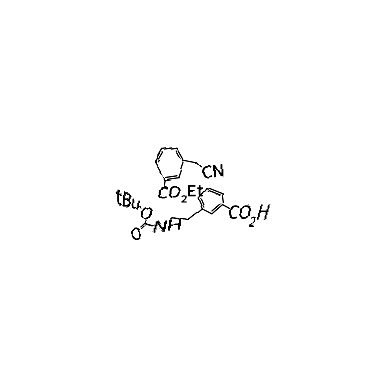 CC(C)(C)OC(=O)NCCc1cccc(C(=O)O)c1.CCOC(=O)c1cccc(CC#N)c1